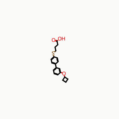 O=C(O)CCCSc1ccc(-c2cccc(OC3CCC3)c2)cc1